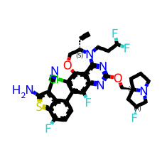 C=C[C@H]1COc2c(Cl)c(-c3ccc(F)c4sc(N)c(C#N)c34)c(F)c3nc(OC[C@@]45CCCN4C[C@H](F)C5)nc(c23)N1CCC(F)F